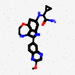 COc1cnc2cc(-c3[nH]c4cc(N[C@H](C(N)=O)C5CC5)cc5c4c3NCCO5)ccc2n1